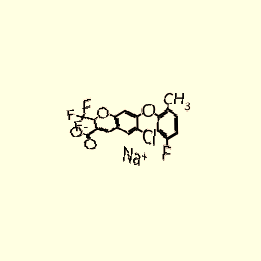 Cc1ccc(F)cc1Oc1cc2c(cc1Cl)C=C(C(=O)[O-])C(C(F)(F)F)O2.[Na+]